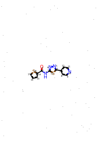 O=C(Nc1nnc(-c2ccncc2)s1)c1cccs1